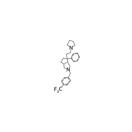 FC(F)(F)c1ccc(CN2CC3CCC(CCN4CCCC4)(c4ccccc4)C3C2)cc1